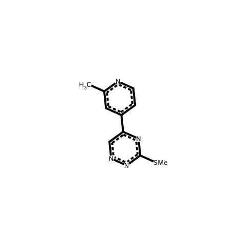 CSc1nncc(-c2ccnc(C)c2)n1